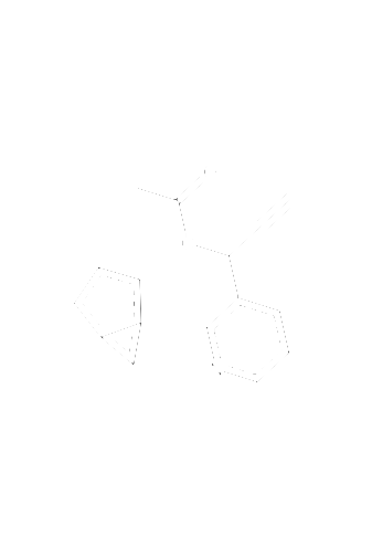 C#CC(OC(C)=O)c1cccnc1.c1cc2cc-2c1